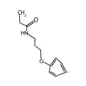 CCC(=O)NCCCOc1cc[c]cc1